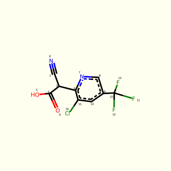 N#CC(C(=O)O)c1ncc(C(F)(F)F)cc1Cl